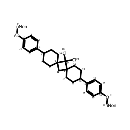 CCCCCCCCCOc1ccc(C2CCC3(CC2)CC2(CCC(c4ccc(OCCCCCCCCC)cc4)CC2)C3(Cl)Cl)cc1